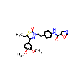 CCC1SC(=O)N(CCc2ccc(NC(=O)c3cnco3)cc2)N=C1c1ccc(OC)c(OC)c1